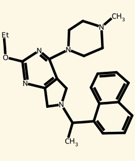 CCOc1nc2c(c(N3CCN(C)CC3)n1)CN(C(C)c1cccc3ccccc13)C2